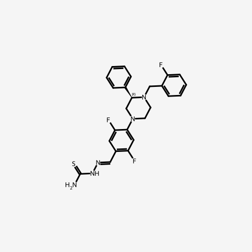 NC(=S)NN=Cc1cc(F)c(N2CCN(Cc3ccccc3F)[C@H](c3ccccc3)C2)cc1F